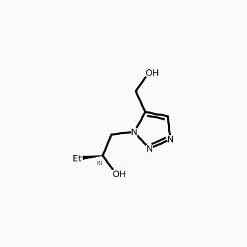 CC[C@H](O)Cn1nncc1CO